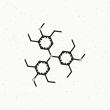 CCc1cc(P(c2cc(CC)c(OC)c(CC)c2)c2cc(CC)c(OC)c(CC)c2)cc(CC)c1OC